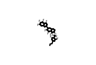 CCCc1cc(F)c(C(F)(F)Oc2ccc3cc(-c4cc(F)c5c(F)c(F)c(F)cc5c4)c(F)c(F)c3c2F)c(F)c1